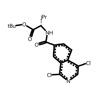 CC(C)[C@H](NC(=O)c1ccc2c(Cl)cnc(Cl)c2c1)C(=O)OC(C)(C)C